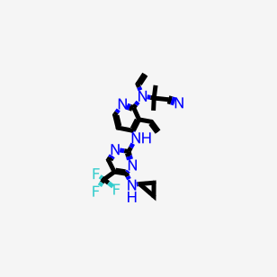 C=Cc1c(Nc2ncc(C(F)(F)F)c(NC3CC3)n2)ccnc1N(C=C)C(C)(C)C#N